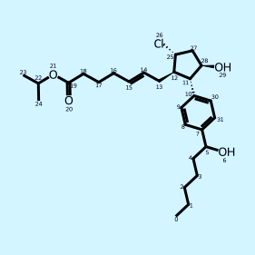 CCCCCC(O)c1ccc([C@@H]2[C@@H](CC=CCCCC(=O)OC(C)C)[C@H](Cl)C[C@H]2O)cc1